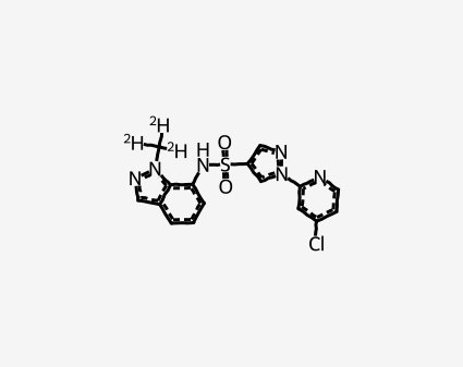 [2H]C([2H])([2H])n1ncc2cccc(NS(=O)(=O)c3cnn(-c4cc(Cl)ccn4)c3)c21